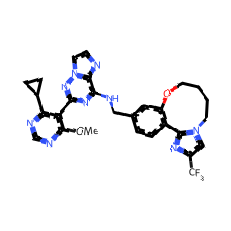 COc1ncnc(C2CC2)c1-c1nc(NCc2ccc3c(c2)OCCCCn2cc(C(F)(F)F)nc2-3)c2nccn2n1